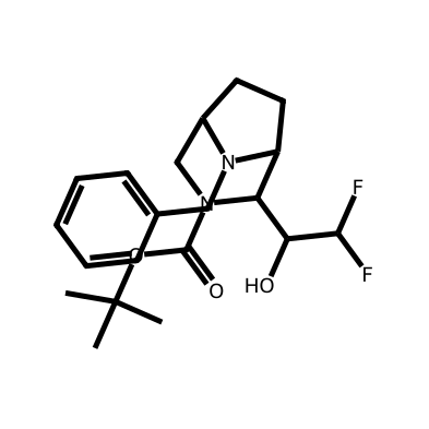 CC(C)(C)OC(=O)N1CC2CCC(C1C(O)C(F)F)N2Cc1ccccc1